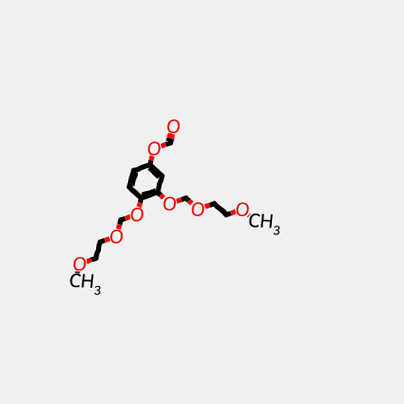 COCCOCOc1ccc(OC=O)cc1OCOCCOC